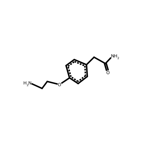 NCCOc1ccc(CC(N)=O)cc1